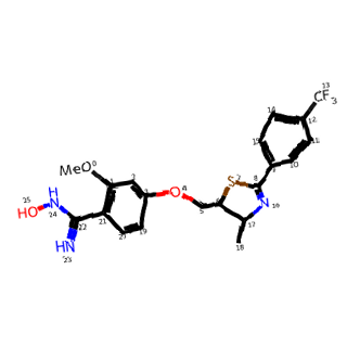 COc1cc(OCC2SC(c3ccc(C(F)(F)F)cc3)=NC2C)ccc1C(=N)NO